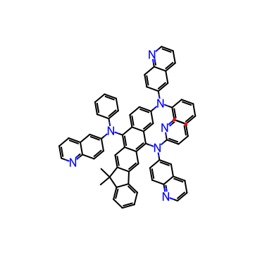 CC1(C)c2ccccc2-c2cc3c(N(c4ccc5ncccc5c4)c4ccccn4)c4cc(N(c5ccccc5)c5ccc6ncccc6c5)ccc4c(N(c4ccccc4)c4ccc5ncccc5c4)c3cc21